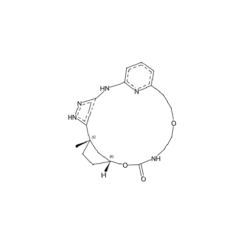 C[C@]12CC[C@H](C1)OC(=O)NCCOCCc1cccc(n1)Nc1cc2[nH]n1